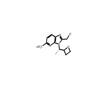 C[C@@H](C1CCO1)n1c(CCl)nc2ccc(C(=O)O)nc21